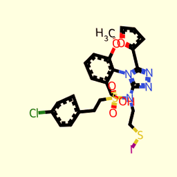 COc1cccc(CO)c1-n1c(-c2ccco2)nnc1N(CCSI)S(=O)(=O)CCc1ccc(Cl)cc1